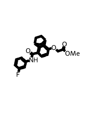 COC(=O)COc1ccc(C(=O)Nc2cccc(F)c2)c2c1C1CCC2CC1